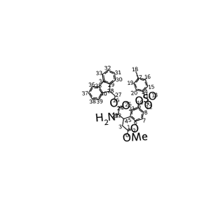 COC(=O)CC(c1cccc(OS(=O)(=O)c2ccc(C)cc2)c1)C(N)C(=O)OCC1c2ccccc2-c2ccccc21